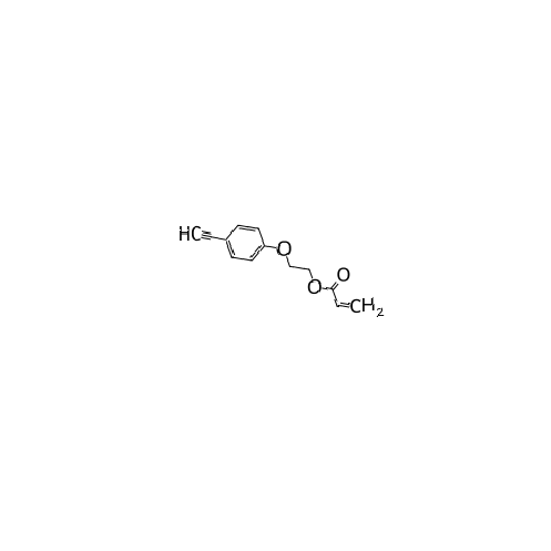 C#Cc1ccc(OCCOC(=O)C=C)cc1